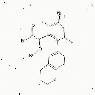 CCC(=O)C(OC(C)(C)C)c1c(C)c(N)cc(C)c1-c1ccc2c(c1)CCCO2